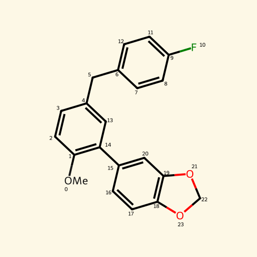 COc1ccc(Cc2ccc(F)cc2)cc1-c1ccc2c(c1)OCO2